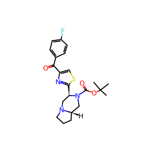 CC(C)(C)OC(=O)N1C[C@@H]2CCCN2C[C@H]1c1nc(C(=O)c2ccc(F)cc2)cs1